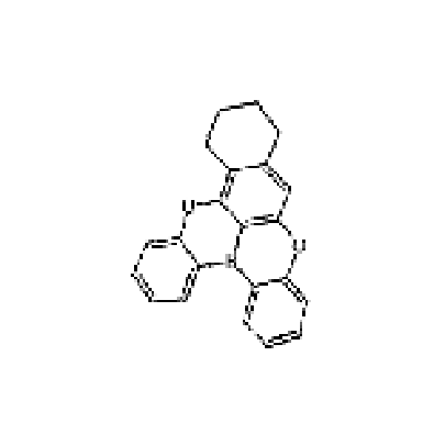 c1ccc2c(c1)Oc1cc3c(c4c1B2c1ccccc1O4)CCCC3